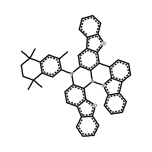 Cc1cc2c(cc1N1c3cc4c(oc5ccccc54)c4c3B(c3c1ccc1c3oc3ccccc31)n1c3ccccc3c3cccc-4c31)C(C)(C)CCC2(C)C